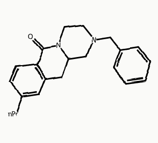 CCCc1ccc2c(c1)CC1CN(Cc3ccccc3)CCN1C2=O